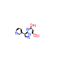 Oc1cc(O)n2ncc(-c3cccnc3)c2n1